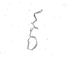 O=CCOBOc1ccccc1